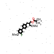 C=C(C)C(=O)OCC(COC)Cc1ccc(-c2ccc(OC)c(F)c2)cc1